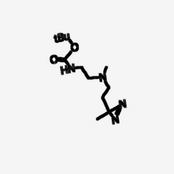 CN(CCNC(=O)OC(C)(C)C)CCC1(C)N=N1